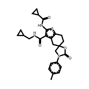 Cc1ccc(N2CC3(CCc4sc(NC(=O)C5CC5)c(C(=O)NCC5CC5)c4C3)OC2=O)cc1